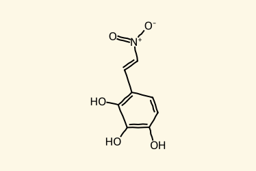 O=[N+]([O-])/C=C/c1ccc(O)c(O)c1O